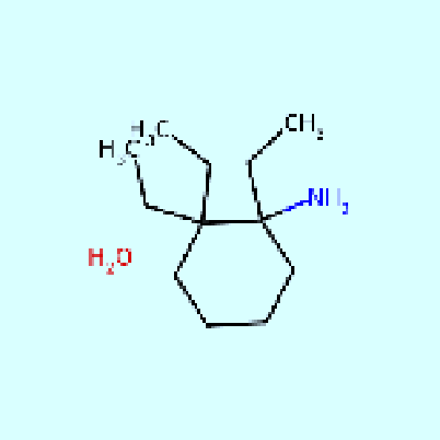 CCC1(N)CCCCC1(CC)CC.O